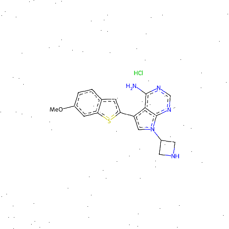 COc1ccc2cc(-c3cn(C4CNC4)c4ncnc(N)c34)sc2c1.Cl